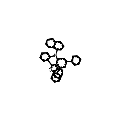 c1ccc(-c2cc(-c3ccccc3)cc(N(c3ccccc3-c3cc4ccccc4o3)c3cccc4ccccc34)c2)cc1